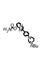 CCCCN1CCCN(c2ccc(-c3cn4cccc(OC(N)=O)c4n3)cc2)CC1